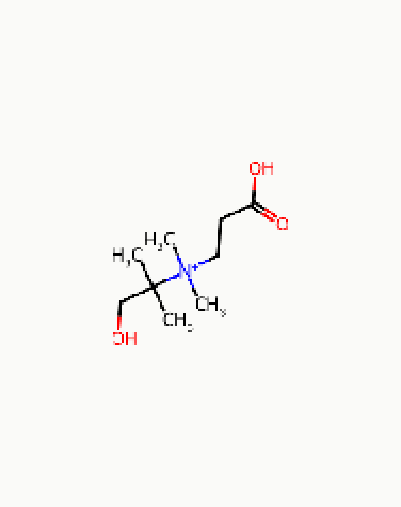 CC(C)(CO)[N+](C)(C)CCC(=O)O